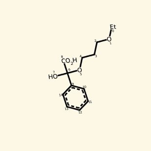 CCOCCCOC(O)(C(=O)O)c1ccccc1